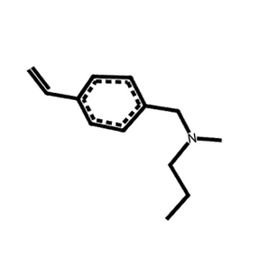 C=Cc1ccc(CN(C)CCC)cc1